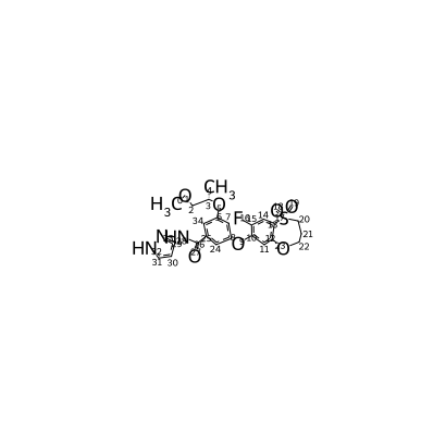 COC[C@H](C)Oc1cc(Oc2cc3c(cc2F)S(=O)(=O)CCCO3)cc(C(=O)Nc2cc[nH]n2)c1